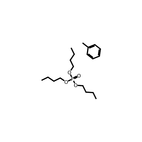 CCCCOP(=O)(OCCCC)OCCCC.Cc1ccccc1